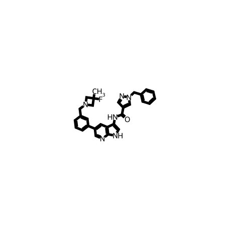 CC1(F)CN(Cc2cccc(-c3cnc4[nH]cc(NC(=O)c5cnn(Cc6ccccc6)c5)c4c3)c2)C1